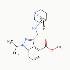 COC(=O)c1cccc2c1c(CN[C@@H]1CN3CCC1CC3)nn2C(C)C